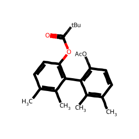 CC(=O)Oc1ccc(C)c(C)c1-c1c(OC(=O)C(C)(C)C)ccc(C)c1C